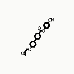 N#Cc1ccc(OC(=O)C2CCC(C3CCC(OCC4CO4)CC3)CC2)cc1